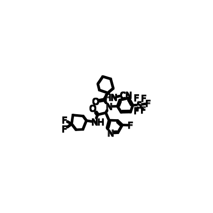 N#CNC1(C(=O)N(c2ccc(S(F)(F)(F)(F)F)cc2)C(C(=O)NC2CCC(F)(F)CC2)c2cncc(F)c2)CCCCC1